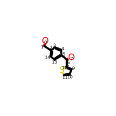 O=Cc1ccc(C(=O)c2cccs2)cc1